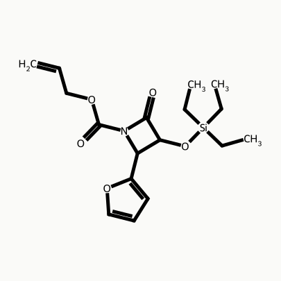 C=CCOC(=O)N1C(=O)C(O[Si](CC)(CC)CC)C1c1ccco1